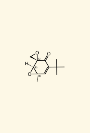 CC(C)(C)C1=C[C@@]2(C)O[C@H]2[C@@]2(CO2)C1=O